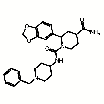 NC(=O)C1CCN(C(=O)NC2CCN(Cc3ccccc3)CC2)C(c2ccc3c(c2)OCO3)C1